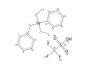 CC[N+](CC)(Cc1ccccc1)c1ccccc1.O=S(=O)(O)C(F)(F)F